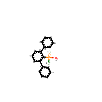 O[PH](Cl)(Cl)c1c(-c2ccccc2)cccc1-c1ccccc1